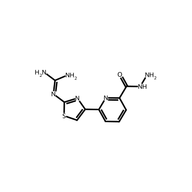 NNC(=O)c1cccc(-c2csc(N=C(N)N)n2)n1